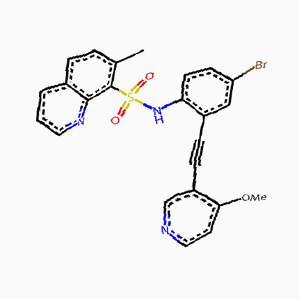 COc1ccncc1C#Cc1cc(Br)ccc1NS(=O)(=O)c1c(C)ccc2cccnc12